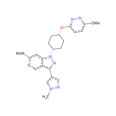 CNc1cc2c(cn1)c(-c1cnn(C)c1)nn2[C@H]1CC[C@@H](Oc2ccc(OC)nn2)CC1